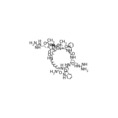 CC(=O)N[C@@H](CCCNC(=N)N)C(=O)N[C@H]1CC(=O)NCCCC[C@@H](C(N)=O)NC(=O)[C@H](Cc2c[nH]c3ccccc23)NC(=O)C(CCCNC(=N)N)NC(=O)[C@@H](Cc2ccccc2)NC(O)[C@@H](CC(C)C)NC1=O